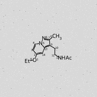 CCOc1ccn2nc(C)c(CCNC(C)=O)c2c1